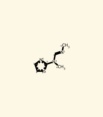 CN=CN(C)c1nccs1